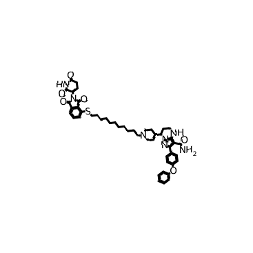 NC(=O)c1c(-c2ccc(Oc3ccccc3)cc2)nn2c1NCCC2C1CCN(CCCCCCCCCCCSc2cccc3c2C(=O)N(C2CCC(=O)NC2=O)C3=O)CC1